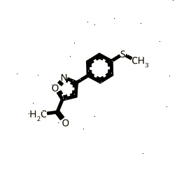 [CH2]C(=O)c1cc(-c2ccc(SC)cc2)no1